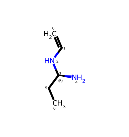 C=CN[C@@H](N)CC